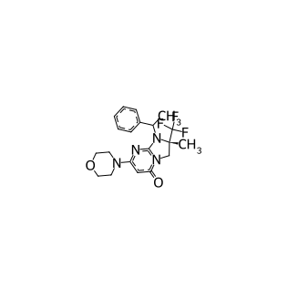 CC(c1ccccc1)N1c2nc(N3CCOCC3)cc(=O)n2C[C@@]1(C)C(F)(F)F